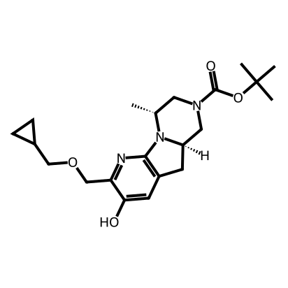 C[C@@H]1CN(C(=O)OC(C)(C)C)C[C@H]2Cc3cc(O)c(COCC4CC4)nc3N21